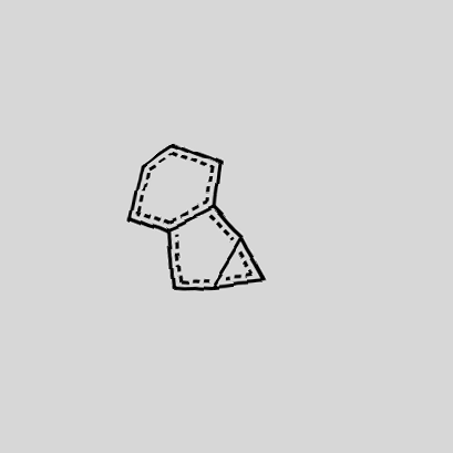 c1ccc2c3cc-3cc2c1